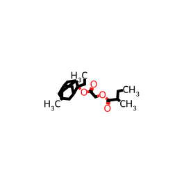 CCC(C)C(=O)OCC(=O)OC1(CC)C2CC3CC1CC(C)(C3)C2